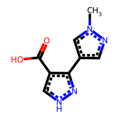 Cn1cc(-c2n[nH]cc2C(=O)O)cn1